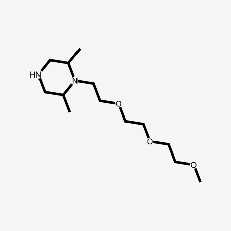 COCCOCCOCCN1C(C)CNCC1C